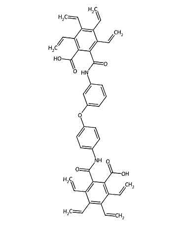 C=Cc1c(C=C)c(C=C)c(C(=O)Nc2ccc(Oc3cccc(NC(=O)c4c(C=C)c(C=C)c(C=C)c(C=C)c4C(=O)O)c3)cc2)c(C(=O)O)c1C=C